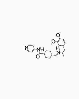 COc1ccc(CC(C)NCC2CCC(C(=O)Nc3ccncc3)CC2)cc1OC